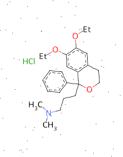 CCOc1cc2c(cc1OCC)C(CCCN(C)C)(c1ccccc1)OCC2.Cl